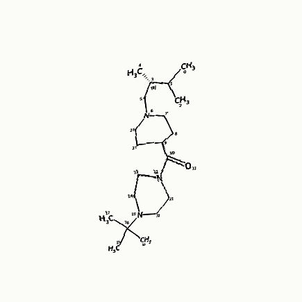 CC(C)[C@@H](C)CN1CCC(C(=O)N2CCN(C(C)(C)C)CC2)CC1